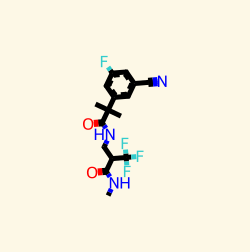 CNC(=O)C(CNC(=O)C(C)(C)c1cc(F)cc(C#N)c1)C(F)(F)F